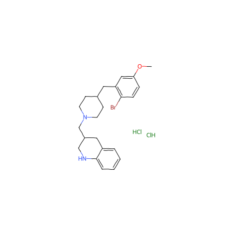 COc1ccc(Br)c(CC2CCN(CC3CNc4ccccc4C3)CC2)c1.Cl.Cl